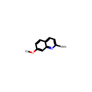 CCOc1ccc2ccc(NC)nc2c1